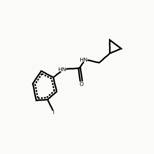 O=C(NCC1CC1)Nc1cccc(I)c1